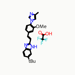 COc1cc(/C=C/c2nc3ccc(C(C)(C)C)cc3[nH]2)ccc1-n1cnc(C)c1.O=C(O)C(F)(F)F